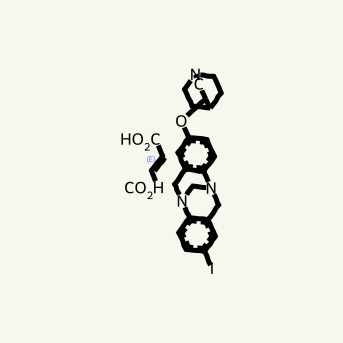 Ic1ccc2c(c1)CN1CN2Cc2cc(OC3CN4CCC3CC4)ccc21.O=C(O)/C=C/C(=O)O